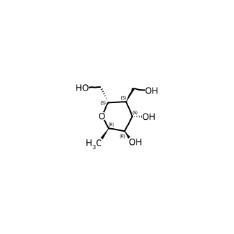 C[C@H]1O[C@H](CO)[C@@H](CO)[C@H](O)[C@H]1O